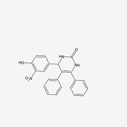 O=C1NC(c2ccccc2)=C(c2ccccc2)C(c2ccc(O)c([N+](=O)[O-])c2)N1